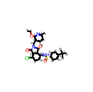 CCOc1nc(C)ccc1CN1C(=O)c2c(Cl)ccc(N[S+]([O-])c3ccc(C(C)(C)C)cc3)c2C1=O